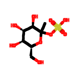 CC1(OS(=O)(=O)O)O[C@H](CO)[C@H](O)[C@H](O)[C@H]1O